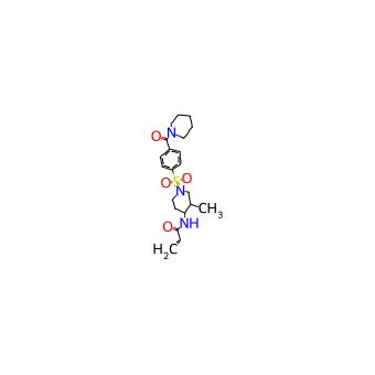 C=CC(=O)NC1CCN(S(=O)(=O)c2ccc(C(=O)N3CCCCC3)cc2)CC1C